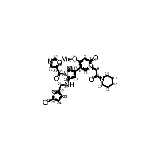 COc1cc(=O)n(CC(=O)N2CCCCC2)cc1-c1cc(NCc2ccc(Cl)s2)n(C(=O)c2cnco2)n1